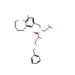 CC(C)CN(Cc1cc(Cl)c2c(c1)CCCCO2)C(=O)C(C)CNCc1ccccc1